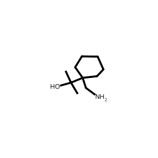 CC(C)(O)C1(CN)CCCCC1